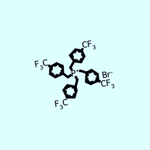 FC(F)(F)c1ccc(C[P+](Cc2ccc(C(F)(F)F)cc2)(Cc2ccc(C(F)(F)F)cc2)Cc2ccc(C(F)(F)F)cc2)cc1.[Br-]